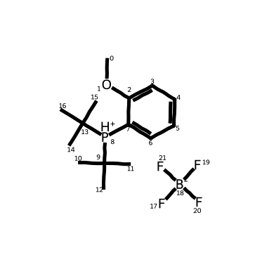 COc1ccccc1[PH+](C(C)(C)C)C(C)(C)C.F[B-](F)(F)F